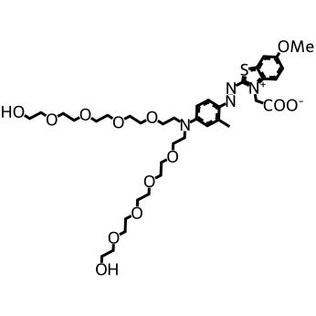 COc1ccc2c(c1)sc(/N=N/c1ccc(N(CCOCCOCCOCCOCCO)CCOCCOCCOCCOCCO)cc1C)[n+]2CC(=O)[O-]